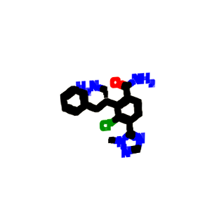 Cn1ncnc1-c1ccc(C(N)=O)c([C@@H](CN)Cc2ccccc2)c1Cl